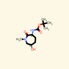 CN1C[C@H](O)CC[C@H](NC(=O)OC(C)(C)C)C1=O